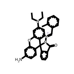 CCN(CC)c1ccc2c(c1)Oc1cc(N)ccc1C21c2ccccc2C(=O)N1/N=C/c1ccccc1C